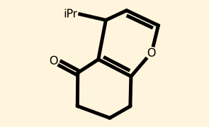 CC(C)C1C=COC2=C1C(=O)CCC2